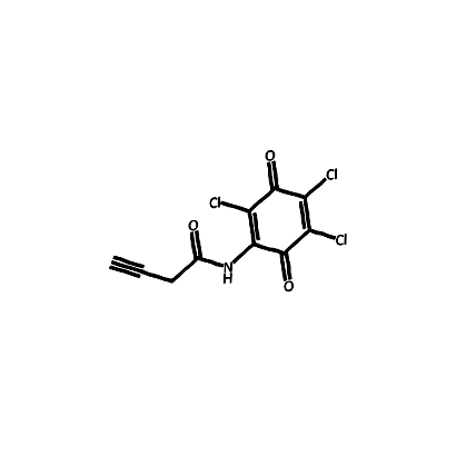 C#CCC(=O)NC1=C(Cl)C(=O)C(Cl)=C(Cl)C1=O